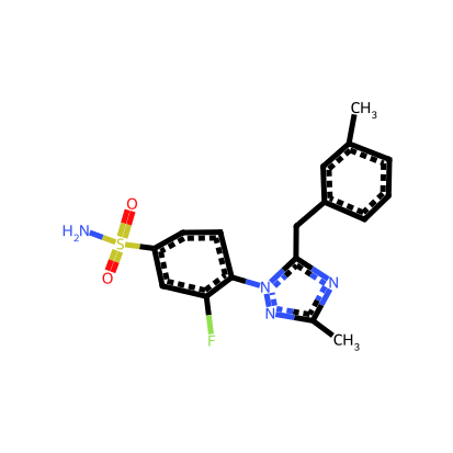 Cc1cccc(Cc2nc(C)nn2-c2ccc(S(N)(=O)=O)cc2F)c1